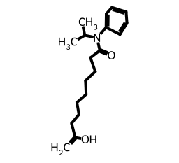 C=C(O)CCCCCCCC(=O)N(c1ccccc1)C(C)C